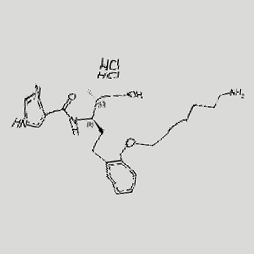 C[C@H](O)[C@@H](CCc1ccccc1OCCCCCCN)NC(=O)c1c[nH]cn1.Cl.Cl